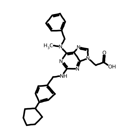 CN(Cc1ccccc1)c1nc(NCc2ccc(C3CCCCC3)cc2)nc2c1ncn2CC(=O)O